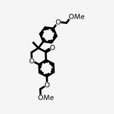 COCOc1ccc(C2(C)COc3cc(OCOC)ccc3C2=O)cc1